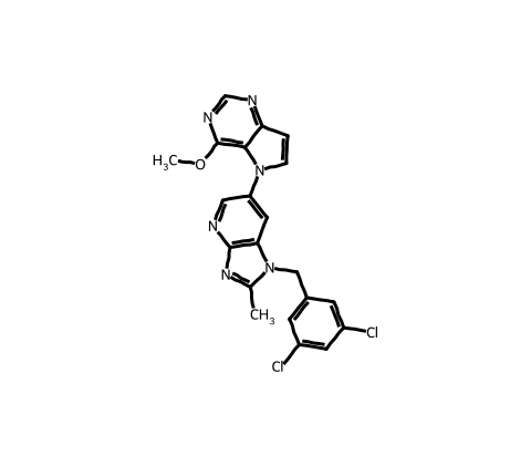 COc1ncnc2ccn(-c3cnc4nc(C)n(Cc5cc(Cl)cc(Cl)c5)c4c3)c12